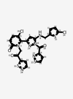 O=C(Cn1c(-c2cc(NCc3ccc(Cl)s3)n(C(=O)c3ccsn3)n2)c(Cl)ccc1=O)c1ccns1